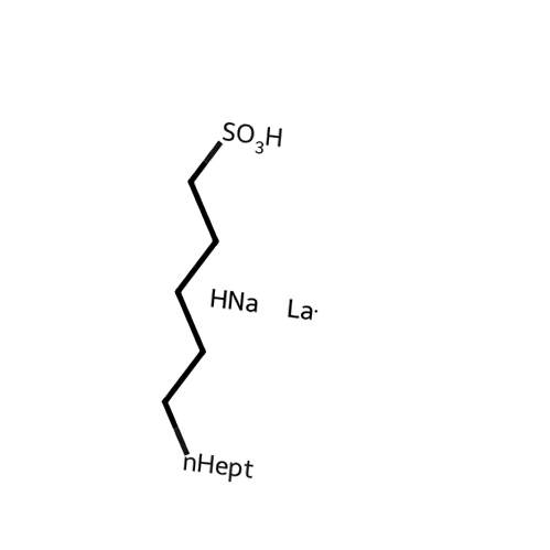 CCCCCCCCCCCCS(=O)(=O)O.[La].[NaH]